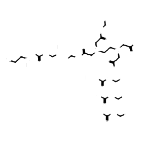 CCOC(=O)CN(CCN(CC(=O)O)CC(=O)O)CC(=O)OCC.CCOC(C)=O.CCOC(C)=O.CCOC(C)=O.CCOC(C)=O.NCCN